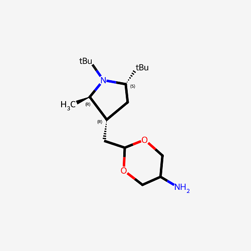 C[C@@H]1[C@@H](CC2OCC(N)CO2)C[C@@H](C(C)(C)C)N1C(C)(C)C